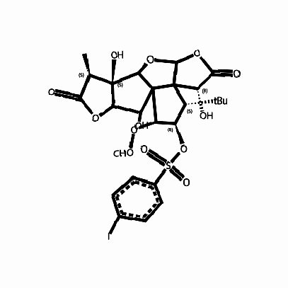 C[C@@H]1C(=O)OC2C(O)C34C(OC=O)[C@H](OS(=O)(=O)c5ccc(I)cc5)[C@@H](C(C)(C)C)C35C(OC(=O)[C@@H]5O)OC4[C@]21O